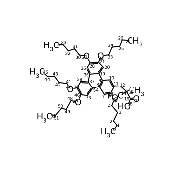 CCCCCOc1cc2c(cc1CC(C)(C)C(=O)O)c1cc(OCCCCC)c(OCCCCC)cc1c1cc(OCCCCC)c(OCCCCC)cc21